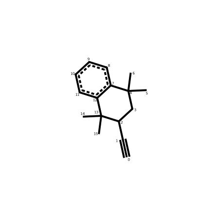 C#CC1CC(C)(C)c2ccccc2C1(C)C